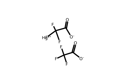 O=C([O-])C(F)(F)F.O=C([O-])C(F)(F)F.[Hg+2]